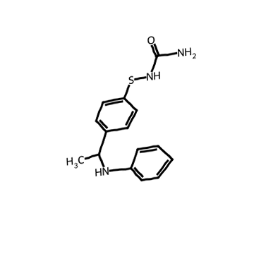 CC(Nc1ccccc1)c1ccc(SNC(N)=O)cc1